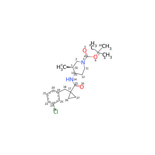 C[C@H]1CN(C(=O)OC(C)(C)C)CC[C@@H]1NC(=O)C1(Cc2cccc(Cl)c2)CC1